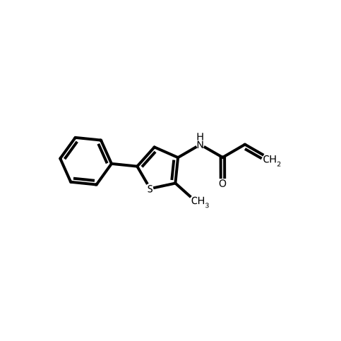 C=CC(=O)Nc1cc(-c2ccccc2)sc1C